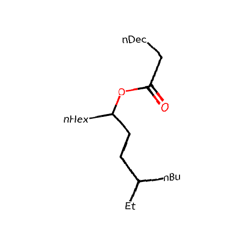 CCCCCCCCCCCC(=O)OC(CCCCCC)CCC(CC)CCCC